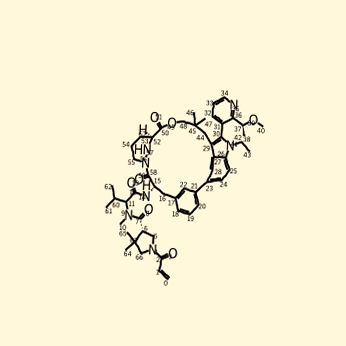 C=CC(=O)N1C[C@@H](C(=O)N(C)C(C(=O)N[C@H]2Cc3cccc(c3)-c3ccc4c(c3)c(c(-c3cccnc3[C@H](C)OC)n4CC)CC(C)(C)COC(=O)[C@@H]3CCCN(N3)C2=O)C(C)C)C(C)(C)C1